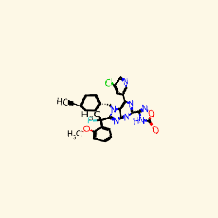 C#C[C@H]1CC[C@H](Cn2c(C(C)(F)c3ccccc3OC)nc3nc(-c4noc(=O)[nH]4)nc(-c4cncc(Cl)c4)c32)CC1